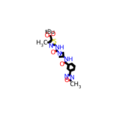 Cc1nc(-c2cccc(C(=O)NC3CN(C(=O)Nc4nc(C)c(C(=O)OC(C)(C)C)s4)C3)c2)no1